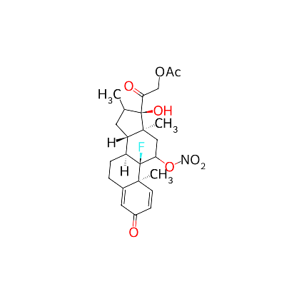 CC(=O)OCC(=O)[C@@]1(O)C(C)C[C@H]2[C@@H]3CCC4=CC(=O)C=C[C@]4(C)[C@@]3(F)C(O[N+](=O)[O-])C[C@@]21C